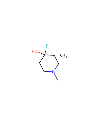 C.CN1CCC(O)(F)CC1